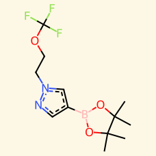 CC1(C)OB(c2cnn(CCOC(F)(F)F)c2)OC1(C)C